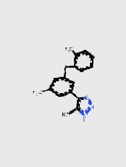 N#Cc1[nH]nnc1-c1cc(Cc2ccccc2C(F)(F)F)cc(C(F)(F)F)c1